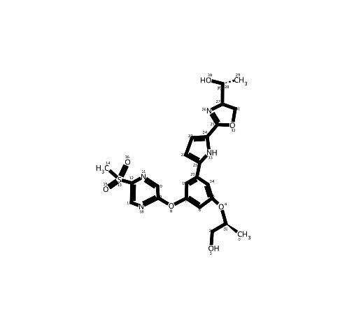 C[C@@H](CO)Oc1cc(Oc2cnc(S(C)(=O)=O)cn2)cc(-c2ccc(C3=NC([C@@H](C)O)CO3)[nH]2)c1